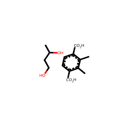 CC(O)CCO.Cc1c(C(=O)O)ccc(C(=O)O)c1C